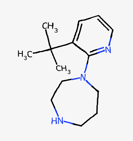 CC(C)(C)c1cccnc1N1CCCNCC1